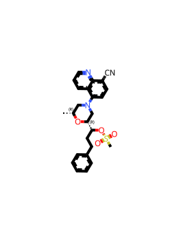 C[C@@H]1CN(c2ccc(C#N)c3ncccc23)C[C@H](C(CCc2ccccc2)OS(C)(=O)=O)O1